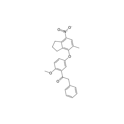 COc1ccc(Oc2c(C)cc([N+](=O)[O-])c3c2CCC3)cc1C(=O)Cc1ccccc1